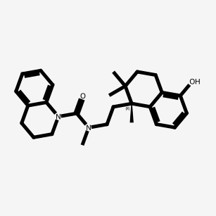 CN(CC[C@@]1(C)c2cccc(O)c2CCC1(C)C)C(=O)N1CCCc2ccccc21